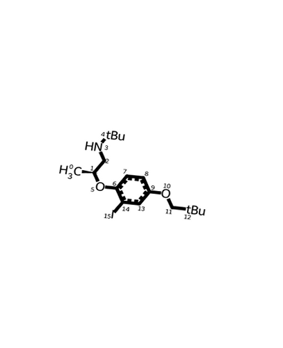 C[C@@H](CNC(C)(C)C)Oc1ccc(OCC(C)(C)C)cc1I